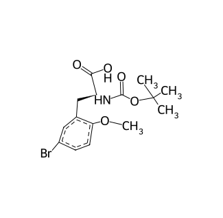 COc1ccc(Br)cc1C[C@H](NC(=O)OC(C)(C)C)C(=O)O